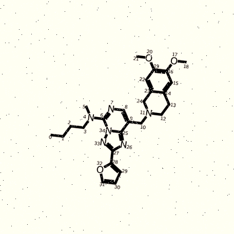 CCCCN(C)c1ncc(CN2CCc3cc(OC)c(OC)cc3C2)c2nc(-c3ccco3)nn12